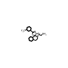 CC(=O)N1N=C(c2cccc(C(F)(F)F)c2)S[C@@]12c1ccccc1CC[C@@H]2CCN